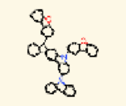 c1ccc2c(c1)-c1cc3c4cc(-n5c6ccccc6c6ccccc65)ccc4n(-c4ccc5oc6ccccc6c5c4)c3cc1C2c1ccc2oc3ccccc3c2c1